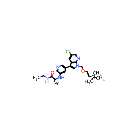 CC(C)C(Nc1cncc(-c2cn(COCC[Si](C)(C)C)c3ncc(Cl)cc23)c1)C(=O)NCC(F)(F)F